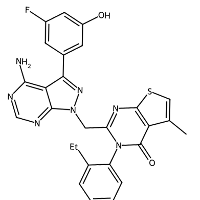 CCc1ccccc1-n1c(Cn2nc(-c3cc(O)cc(F)c3)c3c(N)ncnc32)nc2scc(C)c2c1=O